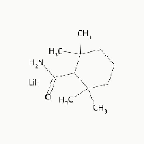 CC1(C)CCCC(C)(C)C1C(N)=O.[LiH]